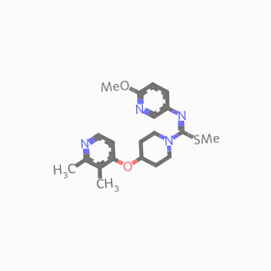 COc1ccc(N=C(SC)N2CCC(Oc3ccnc(C)c3C)CC2)cn1